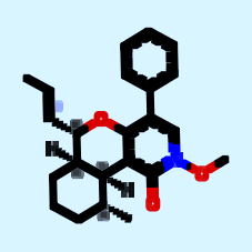 C/C=C/[C@@H]1Oc2c(-c3ccccc3)cn(OC)c(=O)c2[C@@H]2[C@H]1CCC[C@H]2C